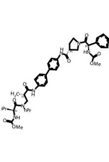 CCCN(C[C@H](C)C(=O)Nc1ccc(-c2ccc(NC(=O)[C@@H]3CCN(C(=O)[C@H](NC(=O)OC)c4ccccc4)C3)cc2)cc1)C(=O)[C@@H](NC(=O)OC)C(C)C